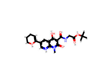 Cn1c(=O)c(C(=O)NCC(=O)OC(C)(C)C)c(O)c2cc(C3=CCCCO3)cnc21